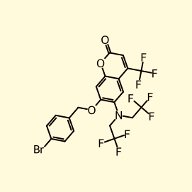 O=c1cc(C(F)(F)F)c2cc(N(CC(F)(F)F)CC(F)(F)F)c(OCc3ccc(Br)cc3)cc2o1